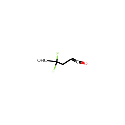 O=C=CCC(F)(F)C=O